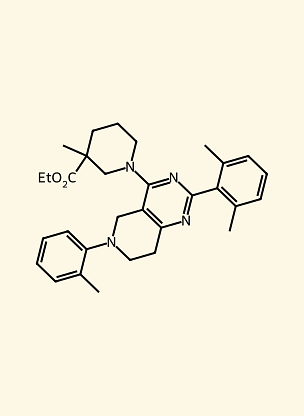 CCOC(=O)C1(C)CCCN(c2nc(-c3c(C)cccc3C)nc3c2CN(c2ccccc2C)CC3)C1